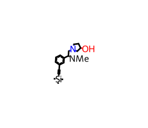 CNC(CN1CCC(O)C1)c1cccc(C#C[Si](C)(C)C)c1